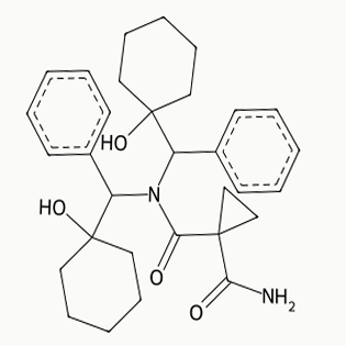 NC(=O)C1(C(=O)N(C(c2ccccc2)C2(O)CCCCC2)C(c2ccccc2)C2(O)CCCCC2)CC1